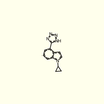 [c]1cc(-c2nnn[nH]2)c2ccn(C3CC3)c2c1